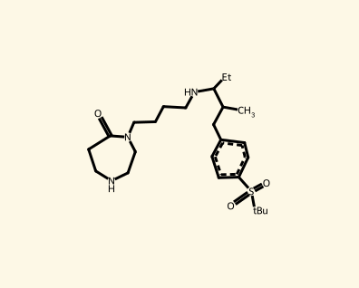 CCC(NCCCCN1CCNCCC1=O)C(C)Cc1ccc(S(=O)(=O)C(C)(C)C)cc1